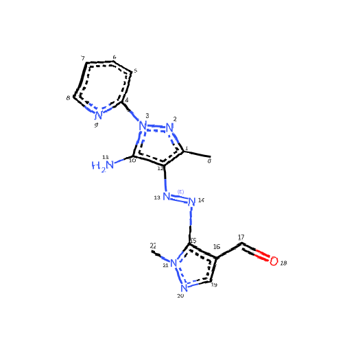 Cc1nn(-c2ccccn2)c(N)c1/N=N/c1c(C=O)cnn1C